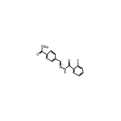 COC(=O)c1ccc(/C=N/N(C)C(=O)c2ccccc2F)cc1